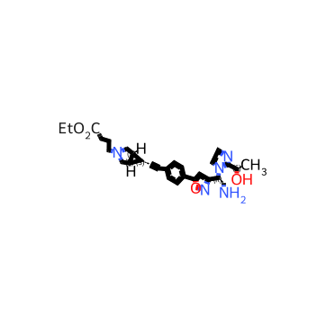 CCOC(=O)CCCN1C[C@@H]2[C@@H](C#Cc3ccc(-c4cc([C@@H](CN)n5ccnc5[C@H](C)O)no4)cc3)[C@@H]2C1